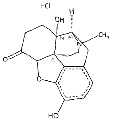 CN1CC[C@]23c4c5ccc(O)c4OC2C(=O)CC[C@@]3(O)[C@H]1C5.Cl